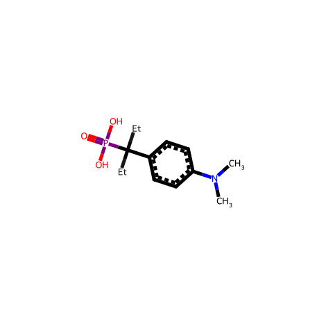 CCC(CC)(c1ccc(N(C)C)cc1)P(=O)(O)O